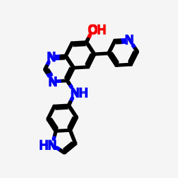 Oc1cc2ncnc(Nc3ccc4[nH]ccc4c3)c2cc1-c1cccnc1